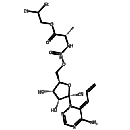 C=C/C=C1/C(N)=NC=NN1[C@]1(C#N)O[C@H](CO[PH](=O)N[C@@H](C)C(=O)OCC(CC)CC)[C@@H](O)[C@H]1O